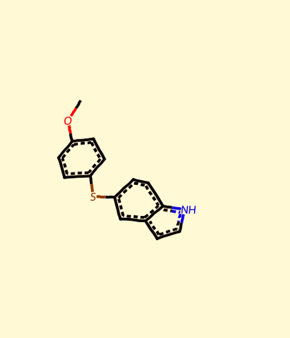 COc1ccc(Sc2ccc3[nH]ccc3c2)cc1